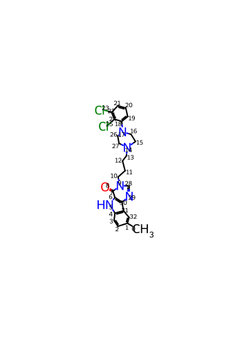 Cc1ccc2[nH]c3c(=O)n(CCCCN4CCN(c5cccc(Cl)c5Cl)CC4)cnc3c2c1